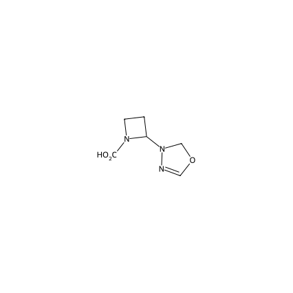 O=C(O)N1CCC1N1COC=N1